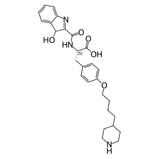 O=C(N[C@@H](Cc1ccc(OCCCCC2CCNCC2)cc1)C(=O)O)C1=Nc2ccccc2C1O